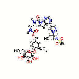 CCS(=O)(=O)N1CC(CC#N)(n2cc(-c3ncnc4c3ccn4C(=O)N(C)CCN(C)C(=O)OCc3ccc(O[C@@H]4O[C@H](C(=O)O)[C@@H](O)[C@H](O)[C@H]4O)c([N+](=O)[O-])c3)cn2)C1